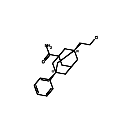 NC(=O)C12CC3C[C@@](CCCl)(C1)C[C@](c1ccccc1)(C3)C2